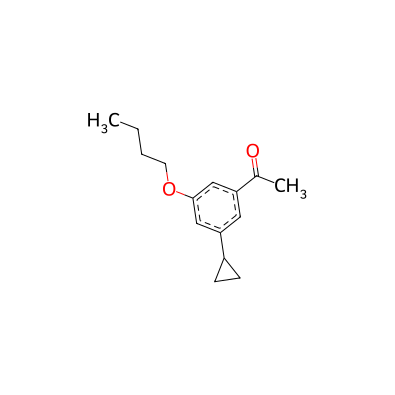 CCCCOc1cc(C(C)=O)cc(C2CC2)c1